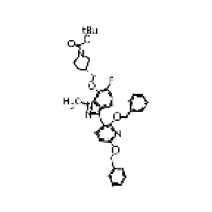 Cn1nc(-c2ccc(OCc3ccccc3)nc2OCc2ccccc2)c2ccc(F)c(OC[C@@H]3CCN(C(=O)OC(C)(C)C)C3)c21